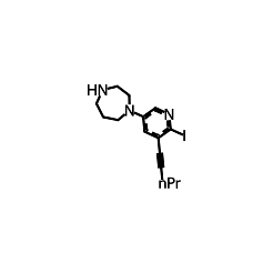 CCCC#Cc1cc(N2CCCNCC2)cnc1I